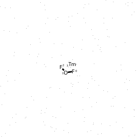 FOF.[Tm]